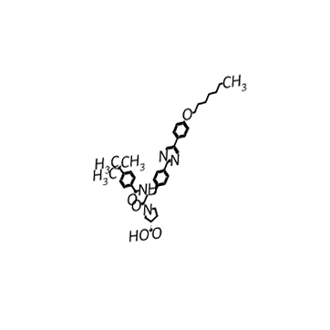 CCCCCCCOc1ccc(-c2cnc(-c3ccc(C[C@H](NC(=O)c4ccc(C(C)(C)C)cc4)C(=O)N4CC[C@H](C(=O)O)C4)cc3)nc2)cc1